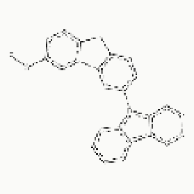 FSc1ccc2c(c1)-c1cc(-n3c4ccccc4c4ccccc43)ccc1C2